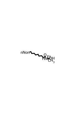 CCCCCCCCCCCCCCCCCC(=O)NC(C)(O)CC